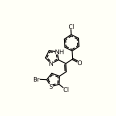 O=C(C(=Cc1cc(Br)sc1Cl)c1ncc[nH]1)c1ccc(Cl)cc1